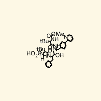 COC(=O)NC(C(=O)NN(Cc1ccc(-c2ccccn2)cc1)CC(O)C(Cc1ccccc1)NC(=O)C(NC(=O)O)C(C)(C)C)C(C)(C)C